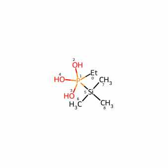 CCP(O)(O)(O)[Si](C)(C)C